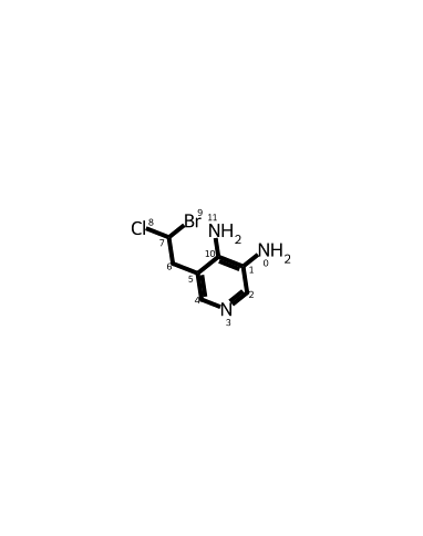 Nc1cncc(CC(Cl)Br)c1N